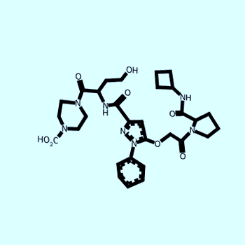 O=C(NC(CCO)C(=O)N1CCN(C(=O)O)CC1)c1cc(OCC(=O)N2CCCC2C(=O)NC2CCC2)n(-c2ccccc2)n1